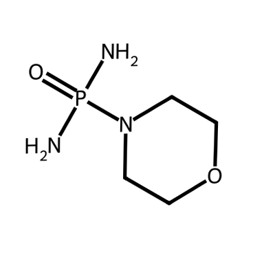 NP(N)(=O)N1CCOCC1